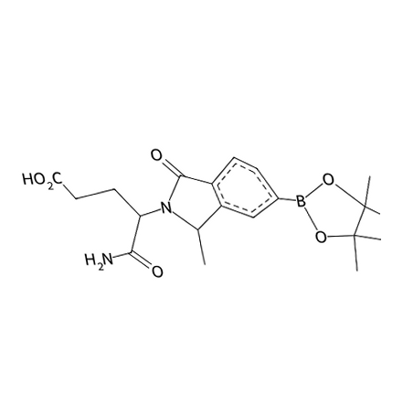 CC1c2cc(B3OC(C)(C)C(C)(C)O3)ccc2C(=O)N1C(CCC(=O)O)C(N)=O